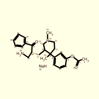 CC(=O)Oc1cccc(C2(C)CCN(C)CC2C[C@H](CN)C(=O)c2ccccc2)c1.[NaH]